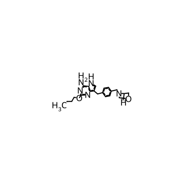 CCCCOc1nc(N)c2[nH]cc(Cc3ccc(CN4C[C@H]5OCC54)cc3)c2n1